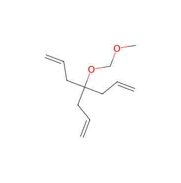 C=CCC(CC=C)(CC=C)OCOC